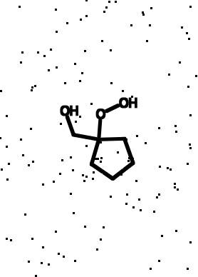 OCC1(OO)CCCC1